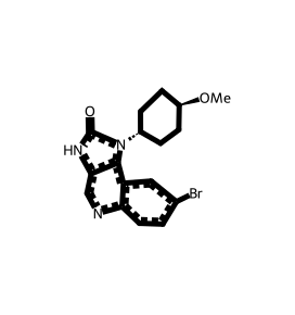 CO[C@H]1CC[C@H](n2c(=O)[nH]c3cnc4ccc(Br)cc4c32)CC1